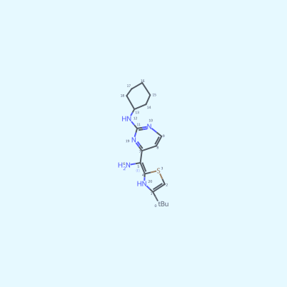 CC(C)(C)C1=CS/C(=C(/N)c2ccnc(NC3CCCCC3)n2)N1